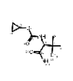 CC(C)([C@H](NC(=O)OC1CC1)C(N)=O)C(F)(F)F